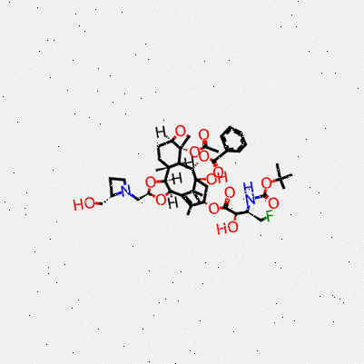 CC(=O)O[C@@]12CO[C@@H]1CC[C@@]1(C)[C@@H]3O[C@H](CN4CC[C@H]4CO)O[C@@H]3C3=C(C)[C@@H](OC(=O)[C@H](O)[C@H](CF)NC(=O)OC(C)(C)C)C[C@@](O)([C@@H](OC(=O)c4ccccc4)[C@@H]12)C3(C)C